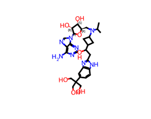 CC(C)N(C[C@H]1O[C@@H](n2cnc3c(N)ncnc32)[C@H](O)[C@@H]1O)C1CC(C(O)Cc2nc3cc(C(CO)(CO)CO)ccc3[nH]2)C1